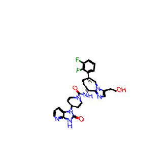 O=C(N[C@@H]1CC[C@@H](c2cccc(F)c2F)Cn2c(CCO)cnc21)N1CCC(n2c(=O)[nH]c3ncccc32)CC1